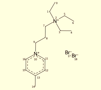 CC[N+](CC)(CC)CCC[n+]1ccc(C)cc1.[Br-].[Br-]